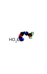 O=C(O)c1cc(Oc2ccc(CN3CCC(c4cc(Cl)cc(Cl)c4)CC3)cc2)cc2nccn12